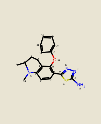 CC1CCc2c(ccc(-c3nnc(N)s3)c2Oc2ccccc2)N1C